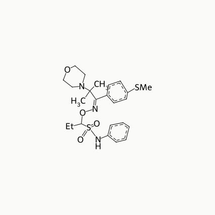 CCC(ON=C(c1ccc(SC)cc1)C(C)(C)N1CCOCC1)S(=O)(=O)Nc1ccccc1